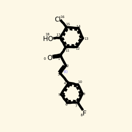 O=C(/C=C/c1ccc(F)cc1)c1cccc(Cl)c1O